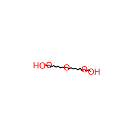 OCCOCCCCCCCOCCCCCCCOCCO